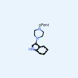 CCCCCN1CCN(c2c[nH]c3ccccc23)CC1